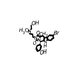 CN(CCO)CCCN1C(=O)N2[C@H](c3cccc(O)c3)c3[nH]c4ccc(Br)cc4c3C[C@@]2(C)C1=O